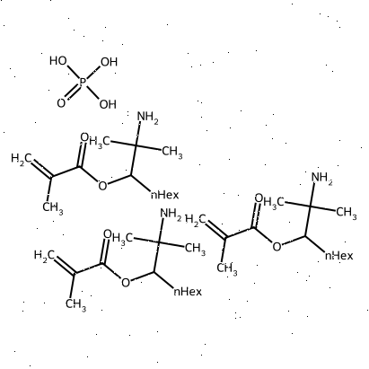 C=C(C)C(=O)OC(CCCCCC)C(C)(C)N.C=C(C)C(=O)OC(CCCCCC)C(C)(C)N.C=C(C)C(=O)OC(CCCCCC)C(C)(C)N.O=P(O)(O)O